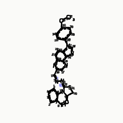 CC(C)c1ccccc1N1C(=O)CS/C1=N/N=C\c1cnc2c(ccc3c2ncn3-c2ccc(OC(F)(F)F)cc2)n1